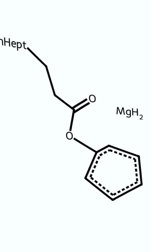 CCCCCCCCCC(=O)Oc1ccccc1.[MgH2]